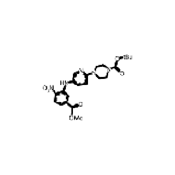 COC(=O)c1ccc([N+](=O)[O-])c(Nc2ccc(N3CCN(C(=O)OC(C)(C)C)CC3)nc2)c1